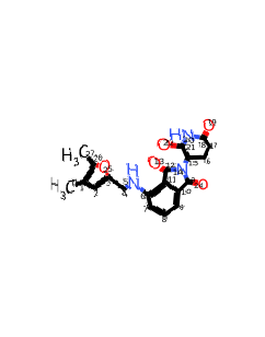 Cc1cc(CNc2cccc3c2C(=O)N(C2CCC(=O)NC2=O)C3=O)oc1C